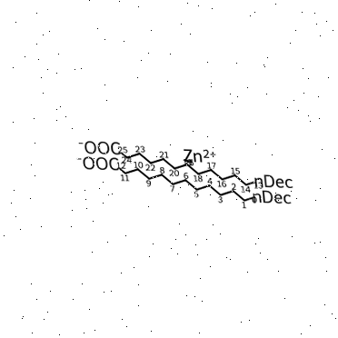 CCCCCCCCCCCCCCCCCCCCCC(=O)[O-].CCCCCCCCCCCCCCCCCCCCCC(=O)[O-].[Zn+2]